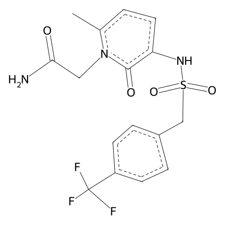 Cc1ccc(NS(=O)(=O)Cc2ccc(C(F)(F)F)cc2)c(=O)n1CC(N)=O